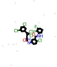 O=C(Nc1cccc(F)c1F)c1cc(NC2OC2C2C(c3cc(Cl)cc(Cl)c3)C2(Cl)Cl)ccc1Cl